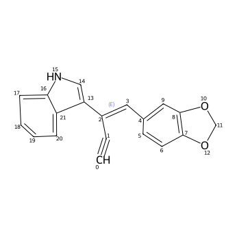 C#C/C(=C\c1ccc2c(c1)OCO2)c1c[nH]c2ccccc12